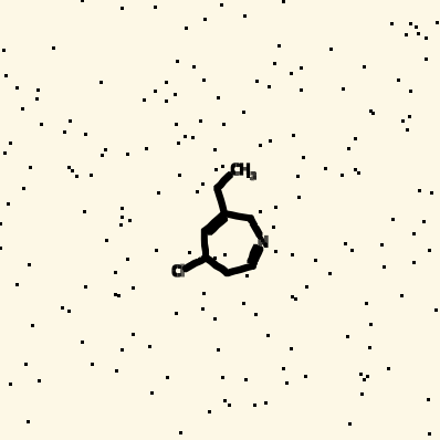 CCC1=CC(Cl)CC=NC1